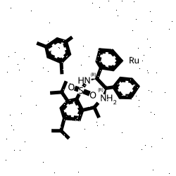 CC(C)c1cc(C(C)C)c(S(=O)(=O)N[C@H](c2ccccc2)[C@H](N)c2ccccc2)c(C(C)C)c1.Cc1cc(C)cc(C)c1.[Ru]